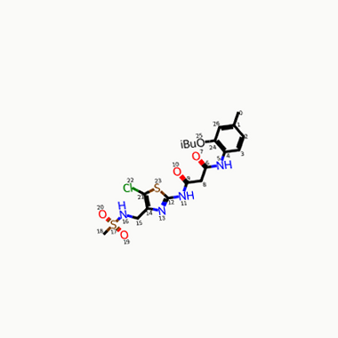 Cc1ccc(NC(=O)CC(=O)Nc2nc(CNS(C)(=O)=O)c(Cl)s2)c(OCC(C)C)c1